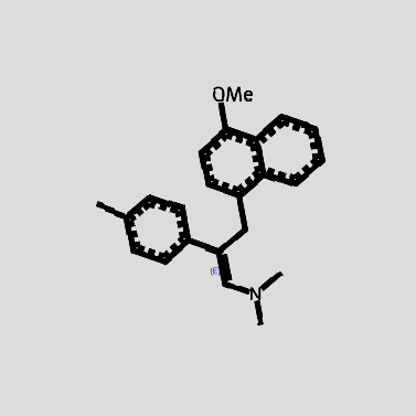 COc1ccc(C/C(=C\N(C)C)c2ccc(C)cc2)c2ccccc12